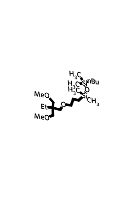 CCCC[Si](C)(C)O[Si](C)(C)CCCOCC(CC)(COC)COC